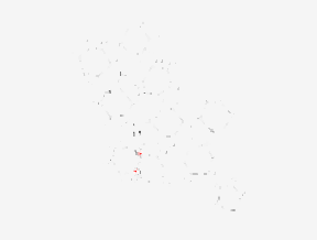 c1ccc(-c2cc(-c3ccccc3)c(-c3cccc(N(c4ccccc4)c4ccc5c(c4)C(c4ccccc4)(c4ccccc4)c4ccccc4-5)c3)c(-c3ccccc3)c2)cc1